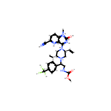 C=C[C@H]1CN(C(CNC(=O)OC)c2ccc(C(F)(F)F)cc2)[C@H](CC)CN1c1nc(=O)n(C)c2ccc(C#N)nc12